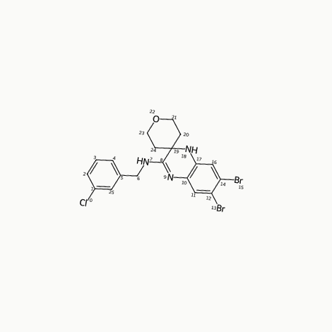 Clc1cccc(CNC2=Nc3cc(Br)c(Br)cc3NC23CCOCC3)c1